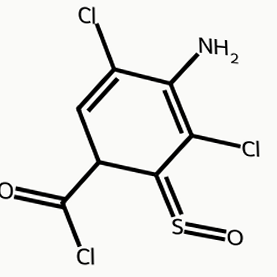 NC1=C(Cl)C(=S=O)C(C(=O)Cl)C=C1Cl